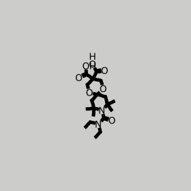 CCN(CC)C(=O)N1C(C)(C)CC2(CC1(C)C)OCC(C(=O)O)(C(=O)O)CO2